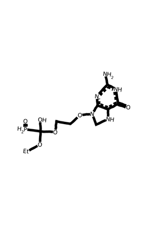 CCOC(O)(OCCON1CNc2c1nc(N)[nH]c2=O)[PH2]=O